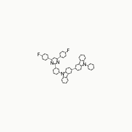 Fc1ccc(-c2cc(-c3ccc(F)cc3)nc(-c3cccc(-n4c5ccccc5c5cc(-c6ccc7c(c6)c6ccccc6n7-c6ccccc6)ccc54)c3)n2)cc1